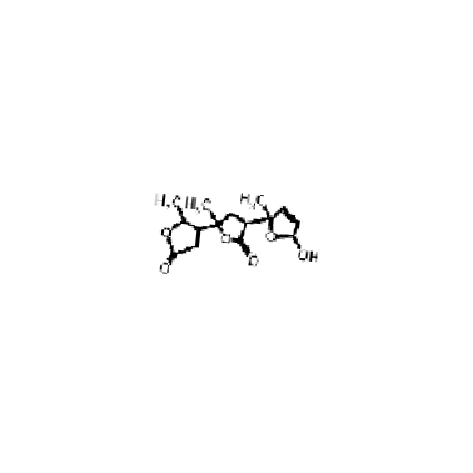 CC1OC(=O)CC1C1(C)CC(C2(C)C=CC(O)O2)C(=O)O1